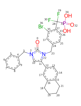 O=c1n(Cc2ccccc2)cc(-c2ccc3c(c2)CCCC3)n1Cc1ccc(C(F)(F)P(=O)(O)O)c(Br)c1